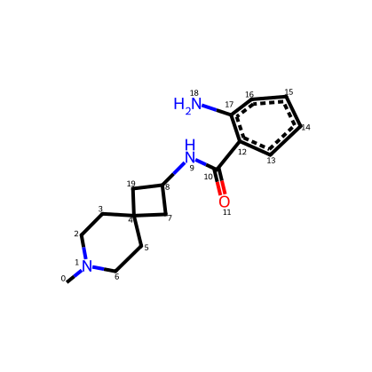 CN1CCC2(CC1)CC(NC(=O)c1ccccc1N)C2